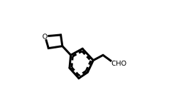 O=CCc1cccc(C2COC2)c1